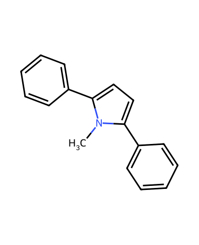 Cn1c(-c2ccccc2)ccc1-c1ccccc1